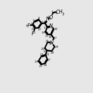 CCON=C(c1ccc(F)c(F)c1)c1ccc(CN2CCC(c3ccccc3)CC2)cn1